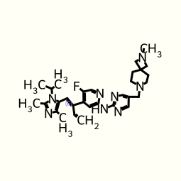 C=C/C(=C\c1c(C)nc(C)n1C(C)C)c1cc(Nc2ncc(CN3CCC4(CC3)CN(C)C4)cn2)ncc1F